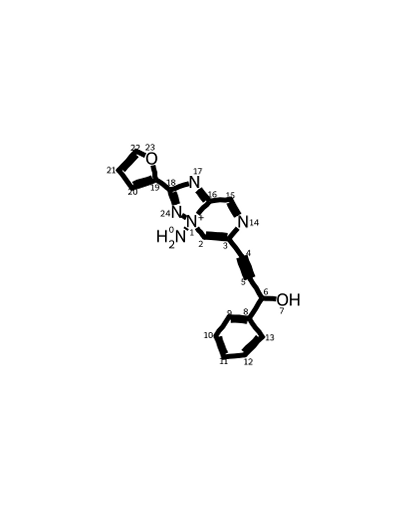 N[N+]12C=C(C#CC(O)c3ccccc3)N=CC1=NC(c1ccco1)=N2